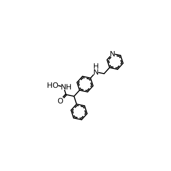 O=C(NO)C(c1ccccc1)c1ccc(NCc2cccnc2)cc1